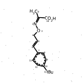 C/C(=N/OC/C=C/c1ccc(C(C)(C)C)cc1)C(=O)O